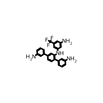 Nc1cccc(-c2ccc(-c3cccc(N)c3)c(Nc3cc(N)cc(C(F)(F)F)c3)c2)c1